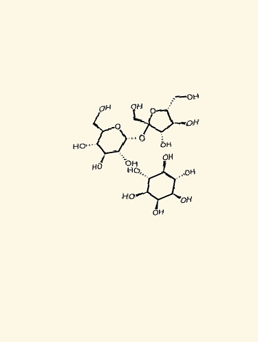 OC[C@H]1O[C@@](CO)(O[C@H]2O[C@H](CO)[C@@H](O)[C@H](O)[C@H]2O)[C@@H](O)[C@@H]1O.O[C@H]1[C@H](O)[C@@H](O)[C@H](O)[C@@H](O)[C@H]1O